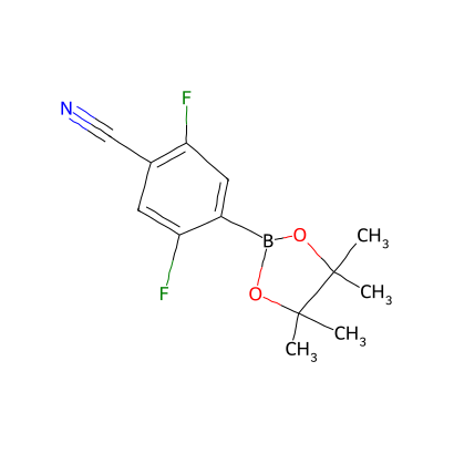 CC1(C)OB(c2cc(F)c(C#N)cc2F)OC1(C)C